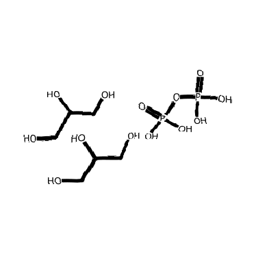 O=P(O)(O)OP(=O)(O)O.OCC(O)CO.OCC(O)CO